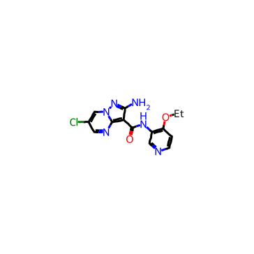 CCOc1ccncc1NC(=O)c1c(N)nn2cc(Cl)cnc12